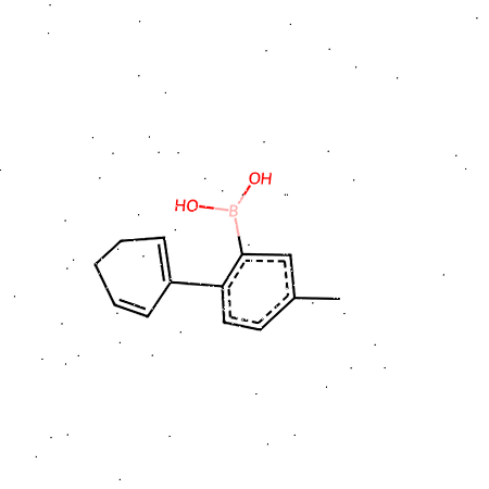 Cc1ccc(C2=CCCC=C2)c(B(O)O)c1